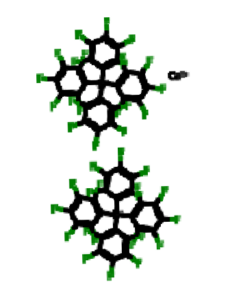 Fc1c(F)c(F)c([B-](c2c(F)c(F)c(F)c(F)c2F)(c2c(F)c(F)c(F)c(F)c2F)c2c(F)c(F)c(F)c(F)c2F)c(F)c1F.Fc1c(F)c(F)c([B-](c2c(F)c(F)c(F)c(F)c2F)(c2c(F)c(F)c(F)c(F)c2F)c2c(F)c(F)c(F)c(F)c2F)c(F)c1F.[Ca+2]